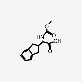 COC(=O)N[C@H](C(=O)O)C1Cc2ccccc2C1